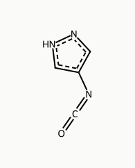 O=C=Nc1cn[nH]c1